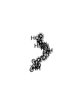 O=C1CCC(N2C(=O)c3ccc(N4CC[C@H](CN5C[C@@H]6C(CN7CCN8c9cc(-c%10ccccc%10O)nnc9NC[C@H]8C7)[C@@H]6C5)[C@H](F)C4)cc3C2=O)C(=O)N1